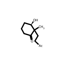 CC(=O)CCC1(C)C(=O)CCC[C@H]1O